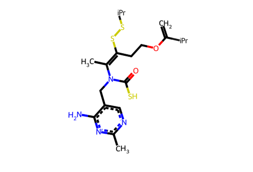 C=C(OCC/C(SSC(C)C)=C(/C)N(Cc1cnc(C)nc1N)C(=O)S)C(C)C